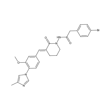 COc1cc(C=C2CCCN(NC(=O)Cc3ccc(Br)cc3)C2=O)ccc1-n1cnc(C)c1